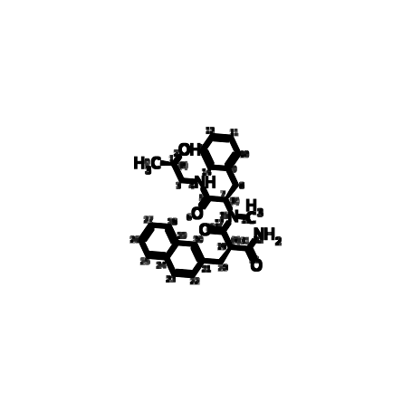 C[C@@H](O)CNC(=O)[C@@H](Cc1ccccc1)N(C)C(=O)[C@H](Cc1ccc2ccccc2c1)C(N)=O